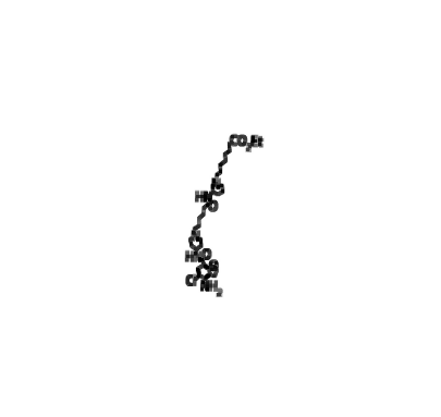 CCOC(=O)CCCCCCCN1CCCC(NC(=O)CCCCCN2CCC(NC(=O)c3cc(Cl)c(N)c4c3OCC4)CC2)C1